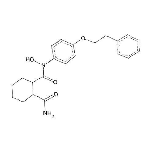 NC(=O)C1CCCCC1C(=O)N(O)c1ccc(OCCc2ccccc2)cc1